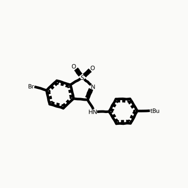 CC(C)(C)c1ccc(NC2=NS(=O)(=O)c3cc(Br)ccc32)cc1